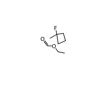 CC1(F)CCC1.CCOC=O